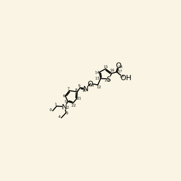 CCN(CC)c1ccc(C=NOCc2ccc(C(=O)O)s2)cc1